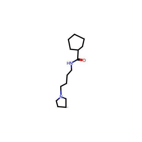 O=C(NCCCCN1C[CH]CC1)C1CCCCC1